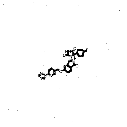 O=C1NC(=O)[C@](CN2Cc3cc(OCc4ccc(-n5cncn5)nc4)ccc3C2=O)(c2ccc(F)cc2)N1